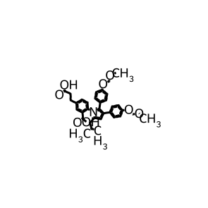 COCOc1ccc(-c2cc(CC(C)C)n(-c3ccc(CCC(=O)O)cc3C(=O)O)c2-c2ccc(OCOC)cc2)cc1